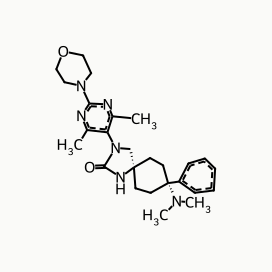 Cc1nc(N2CCOCC2)nc(C)c1N1C[C@]2(CC[C@@](c3ccccc3)(N(C)C)CC2)NC1=O